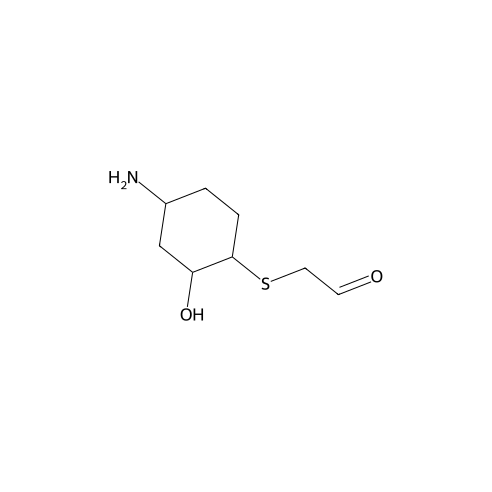 NC1CCC(SCC=O)C(O)C1